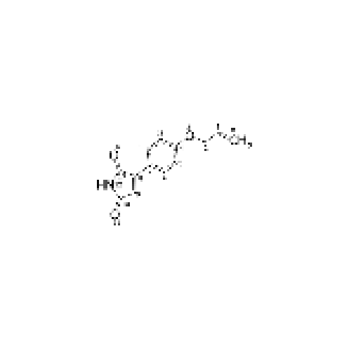 C=CCOc1ccc(C2=CC(=O)NC2=O)cc1